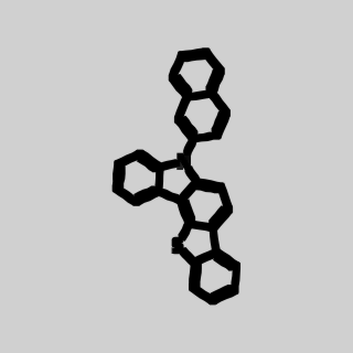 c1ccc2cc(-n3c4ccccc4c4c5sc6ccccc6c5ccc43)ccc2c1